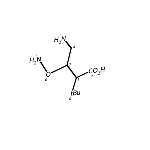 CC(C)(C)C(C(=O)O)C(CN)ON